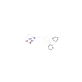 CC(C)Cn1c(=O)n(C)c(=O)c2c1nc(CCCN1CCN(C(c3ccccc3)c3ccccc3)CC1)n2C